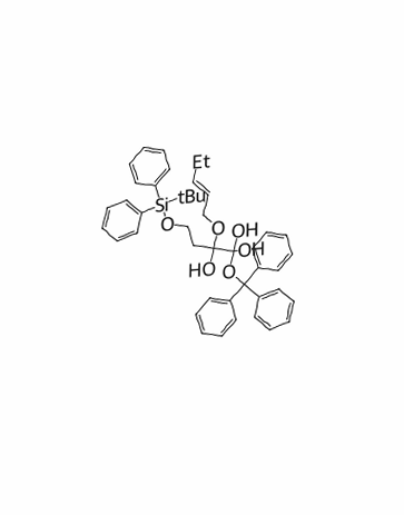 CCC=CCOC(O)(CCO[Si](c1ccccc1)(c1ccccc1)C(C)(C)C)C(O)(O)OC(c1ccccc1)(c1ccccc1)c1ccccc1